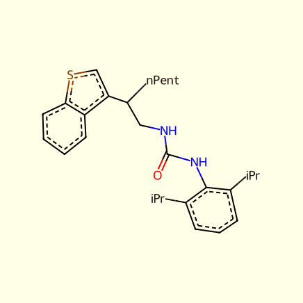 CCCCCC(CNC(=O)Nc1c(C(C)C)cccc1C(C)C)c1csc2ccccc12